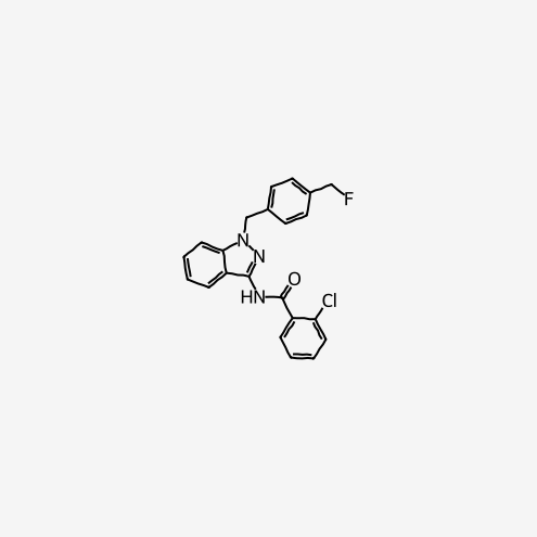 O=C(Nc1nn(Cc2ccc(CF)cc2)c2ccccc12)c1ccccc1Cl